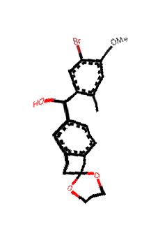 COc1cc(C)c(C(O)c2ccc3c(c2)CC32OCCO2)cc1Br